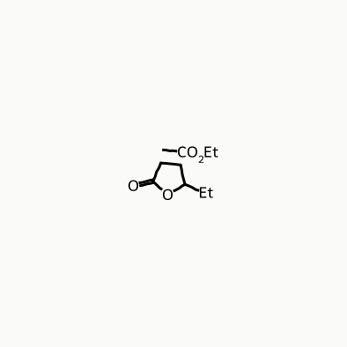 CCC1CCC(=O)O1.CCOC(C)=O